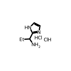 CCC(N)c1ncc[nH]1.Cl.Cl